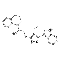 CCn1c(SCC(O)N2CCCc3ccccc32)nnc1-c1c[nH]c2ccccc12